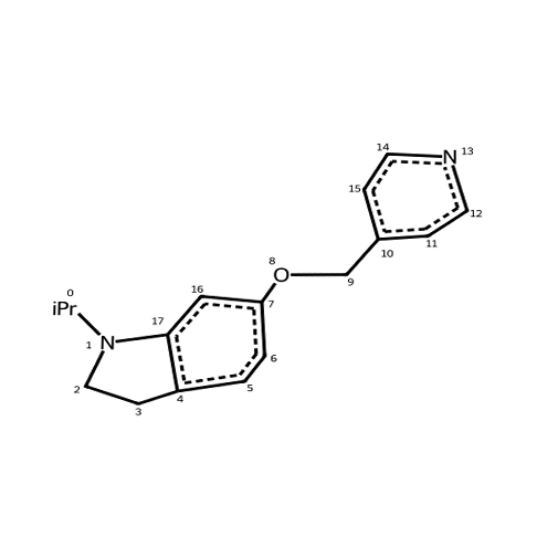 CC(C)N1CCc2ccc(OCc3ccncc3)cc21